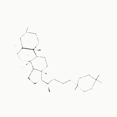 CC[C@]1(O)CC[C@H]2[C@@H](CC[C@@H]3[C@@H]2CC[C@]2(C)[C@@H]([C@H](C)CCCC4(O)CCC(F)(F)CC4)CC[C@@H]32)C1